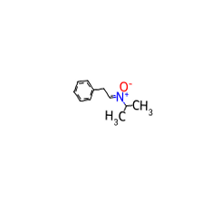 CC(C)[N+]([O-])=CCc1ccccc1